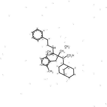 Cc1noc(C)c1CC(C)(C(=O)NCCc1ccccc1)N(C(=O)O)C1CCC2CCCC1C2.[CH2]